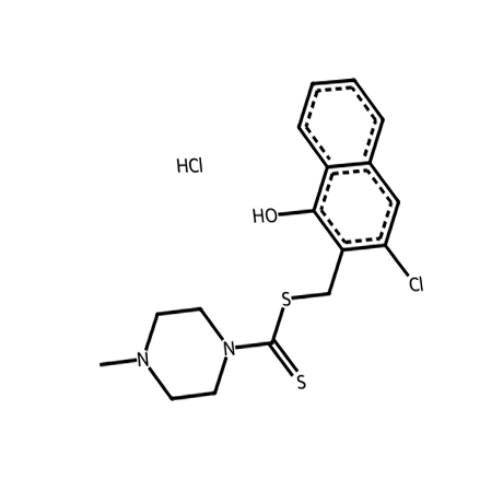 CN1CCN(C(=S)SCc2c(Cl)cc3ccccc3c2O)CC1.Cl